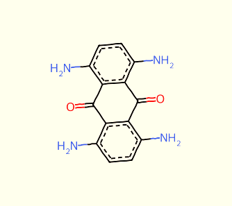 Nc1ccc(N)c2c1C(=O)c1c(N)ccc(N)c1C2=O